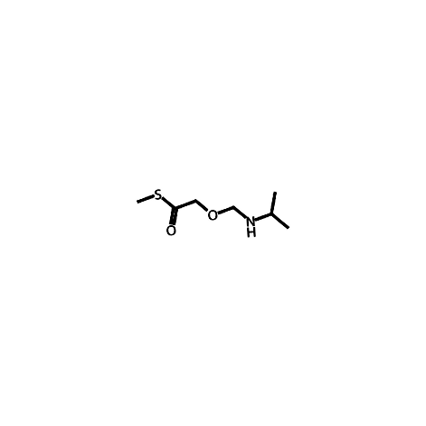 CSC(=O)COCNC(C)C